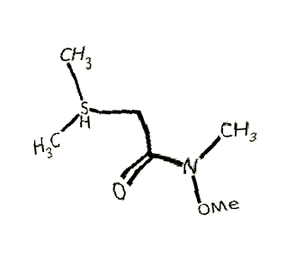 CON(C)C(=O)C[SH](C)C